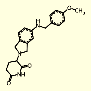 COc1ccc(CNc2ccc3c(c2)CN(C2CCC(=O)NC2=O)C3)cc1